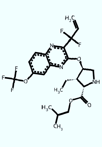 C=CC(F)(F)c1nc2ccc(OC(F)(F)F)cc2nc1O[C@H]1CN[C@H](C(=O)OCC(C)C)[C@@H]1CC